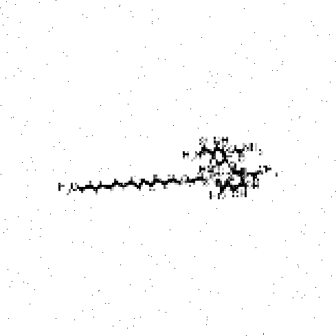 CCCCCCCCCCCCCCCCOCCOP(=O)(O)O[C@@H]1OC(C(N)=O)[C@@H](O)[C@H](OC(N)=O)C1O[C@@H]1OC(CO)[C@@H](O)[C@H](O)C1NC(C)=O